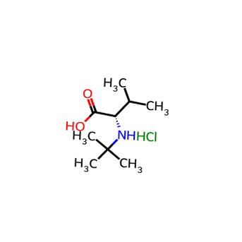 CC(C)[C@H](NC(C)(C)C)C(=O)O.Cl